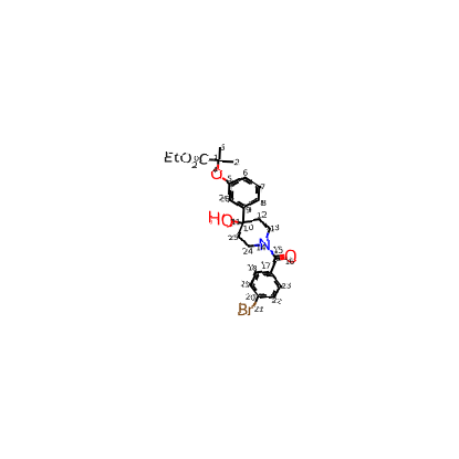 CCOC(=O)C(C)(C)Oc1cccc(C2(O)CCN(C(=O)c3ccc(Br)cc3)CC2)c1